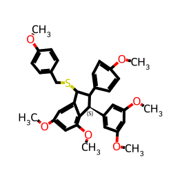 COc1ccc(CSC2c3cc(OC)cc(OC)c3[C@H](c3cc(OC)cc(OC)c3)C2c2ccc(OC)cc2)cc1